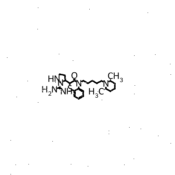 C[C@@H]1CCC[C@H](C)N1CCCCCN1C(=O)C(C2CCNN2C(=N)N)Sc2ccccc21